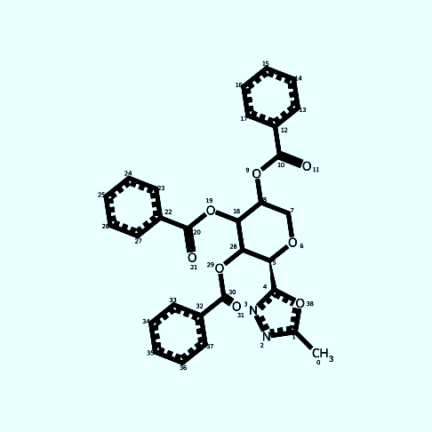 Cc1nnc([C@@H]2OCC(OC(=O)c3ccccc3)C(OC(=O)c3ccccc3)C2OC(=O)c2ccccc2)o1